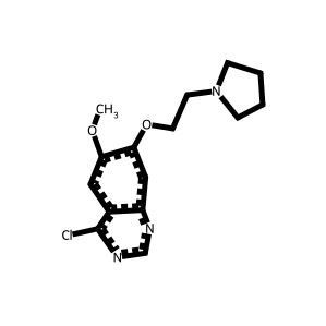 COc1cc2c(Cl)ncnc2cc1OCCN1CCCC1